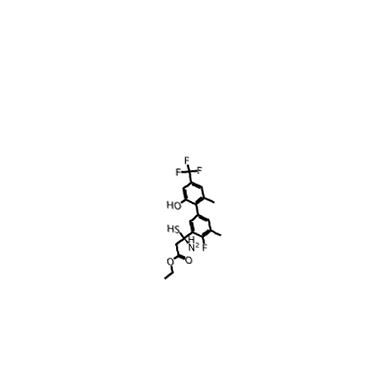 CCOC(=O)C[C@](N)(S)c1cc(-c2c(C)cc(C(F)(F)F)cc2O)cc(C)c1F